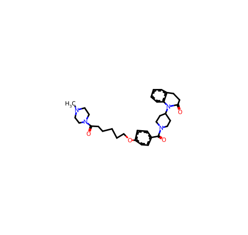 CN1CCN(C(=O)CCCCCOc2ccc(C(=O)N3CCC(N4C(=O)CCc5ccccc54)CC3)cc2)CC1